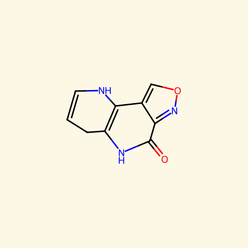 O=c1[nH]c2c(c3conc13)NC=CC2